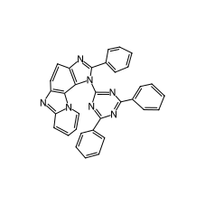 c1ccc(-c2nc(-c3ccccc3)nc(-n3c(-c4ccccc4)nc4ccc5nc6ccccn6c5c43)n2)cc1